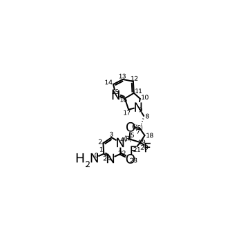 Nc1ccn([C@@H]2O[C@H](CN3Cc4cccnc4C3)CC2(F)F)c(=O)n1